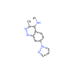 CC(C)Nc1c(C#N)nnc2cc(-n3cccn3)ccc12